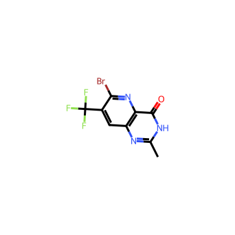 Cc1nc2cc(C(F)(F)F)c(Br)nc2c(=O)[nH]1